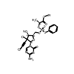 CC(C)OC(=O)[C@H](C)O[P@](=O)(OC[C@H]1O[C@@H](n2cnc(N)nc2=O)C(Cl)(C#CCl)[C@H]1O)Oc1ccccc1